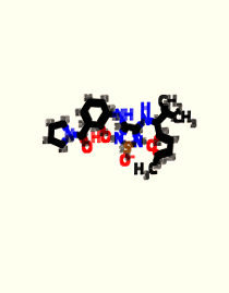 C=C(C)C(Nc1n[s+]([O-])nc1Nc1cccc(C(=O)N2CCCC2)c1O)c1ccc(C)o1